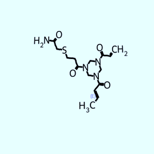 C=CC(=O)N1CN(C(=O)/C=C/C)CN(C(=O)CCSCC(N)=O)C1